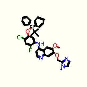 COc1cc2c(Nc3cc(O[Si](c4ccccc4)(c4ccccc4)C(C)(C)C)c(Cl)cc3F)ccnc2cc1OCc1nccn1C